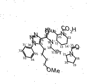 COCCCCc1c(C(=O)N(CC(C)C)[C@H]2C[C@@H](C(=O)N3CCCC3)CN(C(=O)O)C2C(C)(C)C)nnn1-c1ccccc1